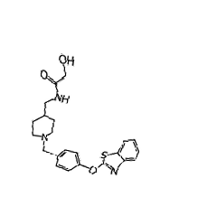 O=C(CO)NCC1CCN(Cc2ccc(Oc3nc4ccccc4s3)cc2)CC1